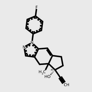 C#C[C@]1(O)CCC2=Cc3c(cnn3-c3ccc(F)cc3)CC21C